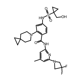 Cc1cc(NC(=O)c2ccc(NS(=O)(=O)C3(CO)CC3)cc2N2CCC3(CC2)CC3)nc(N2CC(F)(F)C2)c1